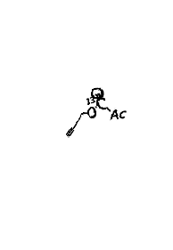 C#CCO[13C](=O)C(C)=O